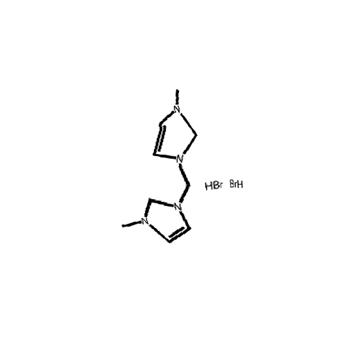 Br.Br.CN1C=CN(CN2C=CN(C)C2)C1